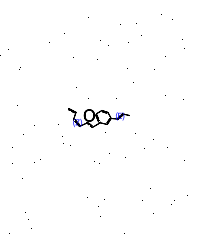 C=C/C=C\c1cc2cc(/C=C/C)ccc2o1